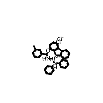 Cc1cccc(C(=O)[NH][Hf+2]([CH]2c3ccccc3-c3ccccc32)[SiH](c2ccccc2)c2ccccc2)c1.[Cl-].[Cl-]